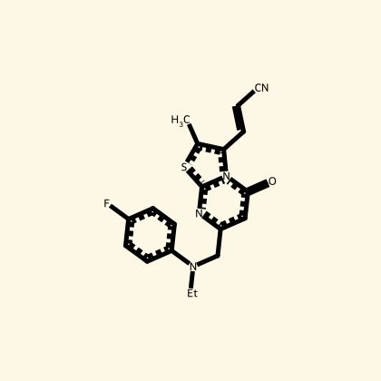 CCN(Cc1cc(=O)n2c(C=CC#N)c(C)sc2n1)c1ccc(F)cc1